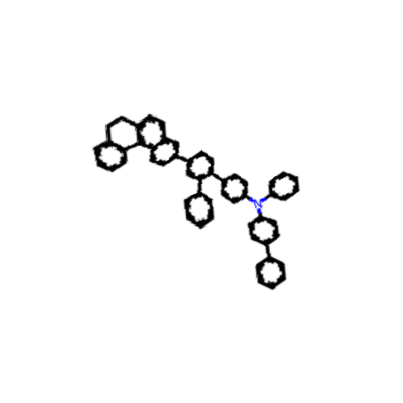 c1ccc(-c2ccc(N(c3ccccc3)c3ccc(-c4ccc(-c5ccc6c7c(ccc6c5)CCc5ccccc5-7)cc4-c4ccccc4)cc3)cc2)cc1